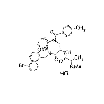 CNC(C)C(=O)NC1CN(C(=O)c2ccc(C)cc2)c2ccccc2N(Cc2c(OC)ccc3c(Br)cccc23)C1=O.Cl